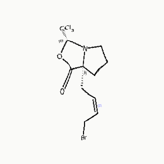 O=C1O[C@H](C(Cl)(Cl)Cl)N2CCC[C@@]12C/C=C\CBr